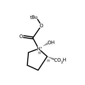 CC(C)(C)OC(=O)[N@+]1(O)CCC[C@H]1C(=O)O